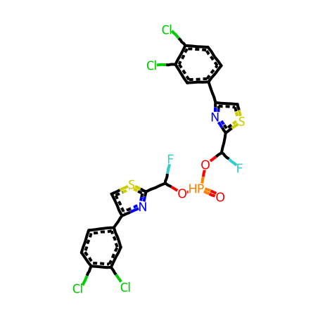 O=[PH](OC(F)c1nc(-c2ccc(Cl)c(Cl)c2)cs1)OC(F)c1nc(-c2ccc(Cl)c(Cl)c2)cs1